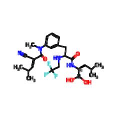 CC(C)C=C(C#N)C(=O)N(C)c1cccc(CC(NCC(F)(F)F)C(=O)N[C@@H](CC(C)C)B(O)O)c1